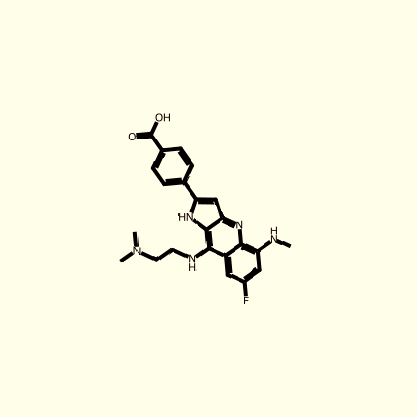 CNc1cc(F)cc2c(NCCN(C)C)c3[nH]c(-c4ccc(C(=O)O)cc4)cc3nc12